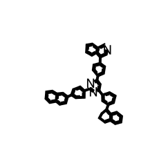 C1=c2ccccc2=C(c2cccc(-c3cc(-c4ccc(-c5cncc6ccccc56)cc4)nc(-c4ccc(-c5ccc6ccccc6c5)cc4)n3)c2)CC1